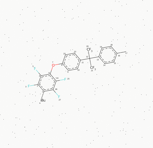 CCC(C)c1c(F)c(F)c(Oc2ccc(C(c3ccc(C)cc3)(C(F)(F)F)C(F)(F)F)cc2)c(F)c1F